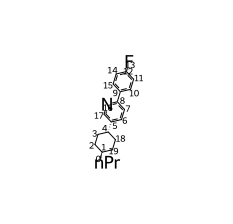 CCC[C@H]1CC[C@H](c2ccc(-c3ccc(F)cc3)nc2)CC1